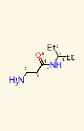 CCC(CC)NC(=O)CCN